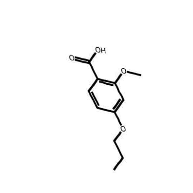 CCCOc1ccc(C(=O)O)c(OC)c1